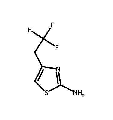 Nc1nc(CC(F)(F)F)cs1